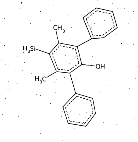 Cc1c([SiH3])c(C)c(-c2ccccc2)c(O)c1-c1ccccc1